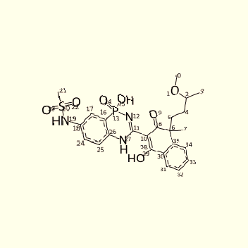 COC(C)CCC1(C)C(=O)C(C2=NP(=O)(O)c3cc(NS(C)(=O)=O)ccc3N2)=C(O)c2ccccc21